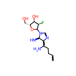 C=CCC/C(N)=C1\N=CN(C2O[C@H](CO)[C@@H](O)[C@H]2F)C1=N